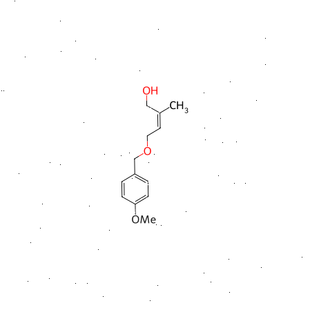 COc1ccc(COCC=C(C)CO)cc1